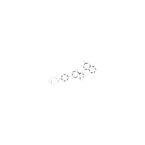 Bc1cc(-c2cnn3cc(-c4ccc(N5CCNCC5)cc4)cnc23)c2ccccc2n1